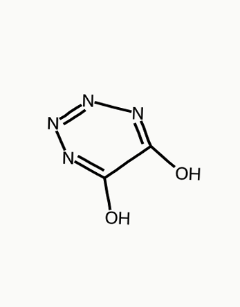 Oc1nnnnc1O